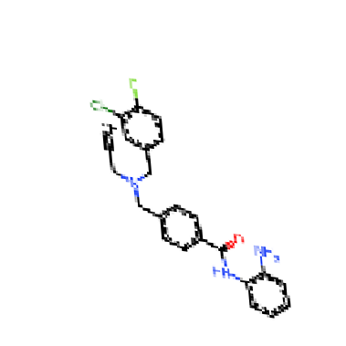 C#CCN(Cc1ccc(C(=O)Nc2ccccc2N)cc1)Cc1ccc(F)c(Cl)c1